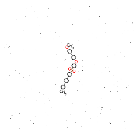 COc1ccc(-c2ccc(Oc3ccc(S(=O)(=O)c4ccc(-c5ccc(-c6ccc(C)cc6)cc5)cc4)cc3)cc2)cc1